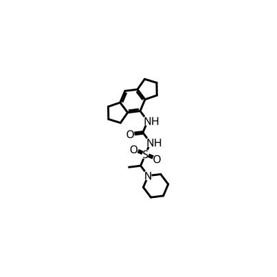 CC(N1CCCCC1)S(=O)(=O)NC(=O)Nc1c2c(cc3c1CCC3)CCC2